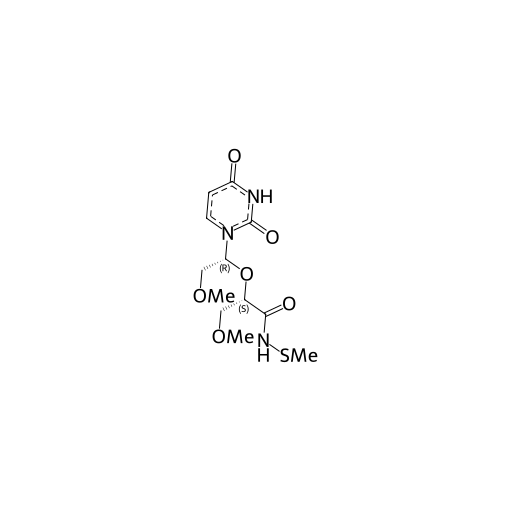 COC[C@H](O[C@H](COC)n1ccc(=O)[nH]c1=O)C(=O)NSC